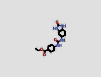 CCOC(=O)c1ccc(NC(=O)Nc2ccc3[nH]c(=O)[nH]c3c2)cc1